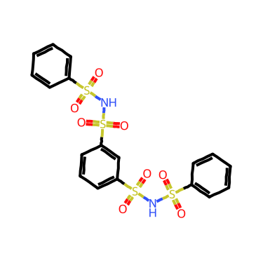 O=S(=O)(NS(=O)(=O)c1cccc(S(=O)(=O)NS(=O)(=O)c2ccccc2)c1)c1ccccc1